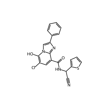 N#CC(NC(=O)c1cc(Cl)c(O)n2cc(-c3ccccc3)nc12)c1cccs1